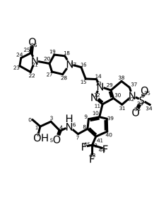 CC(O)CC(=O)NCc1cc(-c2nn(CCCN3CCC(N4CCCC4=O)CC3)c3c2CN(S(C)(=O)=O)CC3)ccc1C(F)(F)F